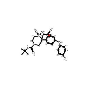 CC(C)(C)OC(=O)N1CCC(CC(=O)O)(c2ccc(Oc3ccc(Cl)cc3)cc2)S(=O)(=O)CC1